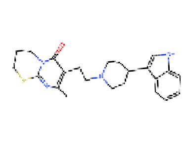 Cc1nc2n(c(=O)c1CCN1CCC(c3c[nH]c4ccccc34)CC1)CCCS2